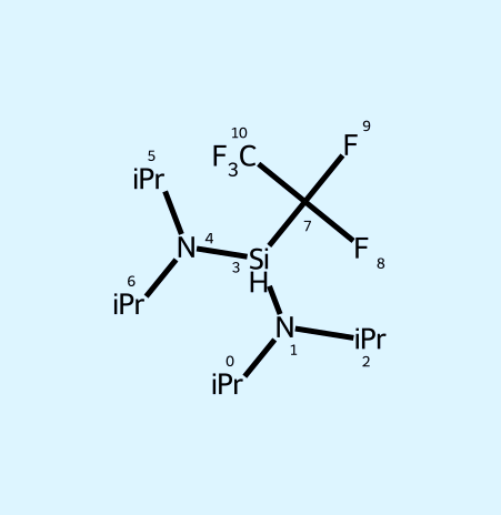 CC(C)N(C(C)C)[SiH](N(C(C)C)C(C)C)C(F)(F)C(F)(F)F